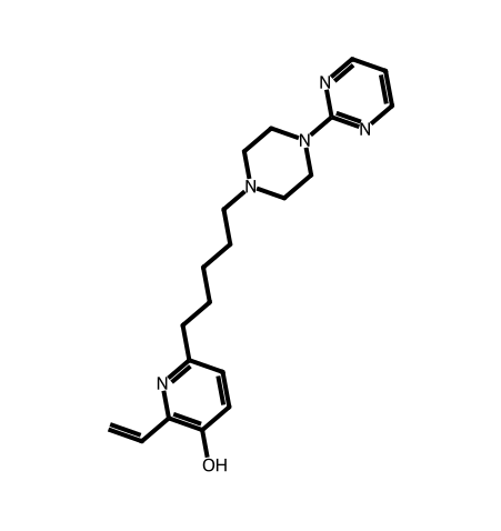 C=Cc1nc(CCCCCN2CCN(c3ncccn3)CC2)ccc1O